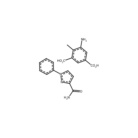 Cc1c(N)cc(C(=O)O)cc1C(=O)O.NC(=O)c1ccn(-c2ccccc2)n1